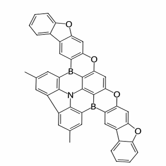 Cc1cc2c3c(c1)c1cc(C)cc4c1n3-c1c3c(cc5c1B4c1cc4c(cc1O5)oc1ccccc14)Oc1cc4oc5ccccc5c4cc1B32